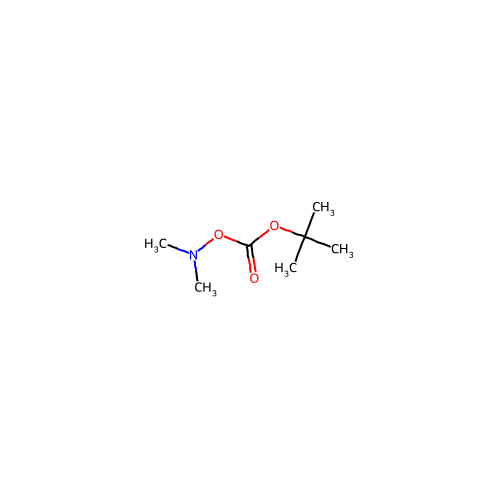 CN(C)OC(=O)OC(C)(C)C